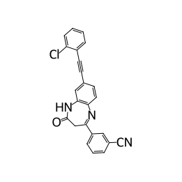 N#Cc1cccc(C2=Nc3ccc(C#Cc4ccccc4Cl)cc3NC(=O)C2)c1